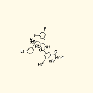 C#Cc1cc(C(=O)N[C@@H](Cc2cc(F)cc(F)c2)[C@H](O)CNC(C)(C)c2cccc(CC)c2)cc(C(=O)N(CCC)CCC)c1